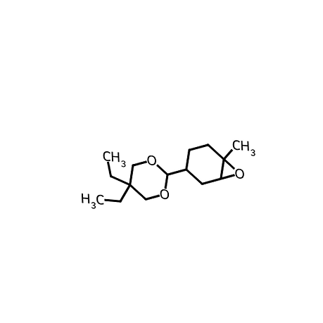 CCC1(CC)COC(C2CCC3(C)OC3C2)OC1